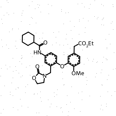 CCOC(=O)Cc1ccc(OC)c(Oc2ccc(NC(=O)C3CCCCC3)cc2CN2CCOC2=O)c1